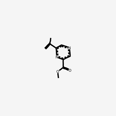 C=C(C)c1cncc(C(=O)OC)n1